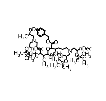 CCCCCCCCCCC(C)CN(CCCC(C)C(C)C(=O)OC(C(=O)OCc1ccccc1)C(C)CCCN(CC(CCCCCCCCCC)O[Si](C)(C)C)CC(CCCCCCCCCC)O[Si](C)(C)C)CC(CCCCCCCCCC)O[Si](C)(C)C